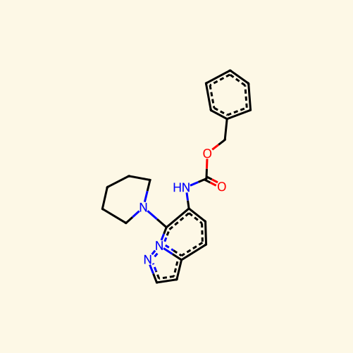 O=C(Nc1ccc2ccnn2c1N1CCCCC1)OCc1ccccc1